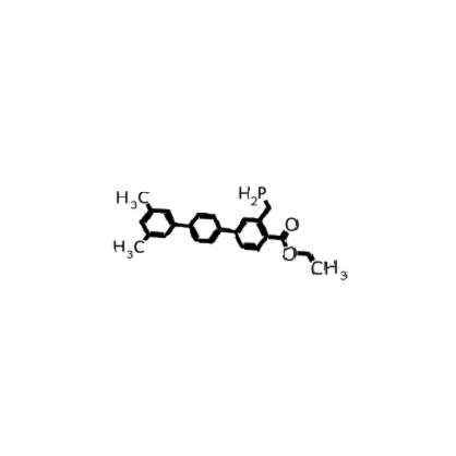 CCOC(=O)c1ccc(-c2ccc(-c3cc(C)cc(C)c3)cc2)cc1CP